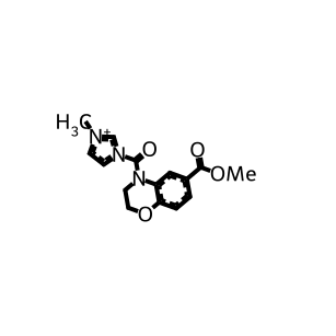 COC(=O)c1ccc2c(c1)N(C(=O)n1cc[n+](C)c1)CCO2